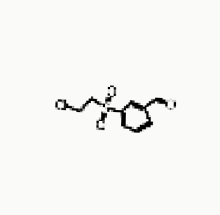 O=[C]c1cccc(S(=O)(=O)CCCl)c1